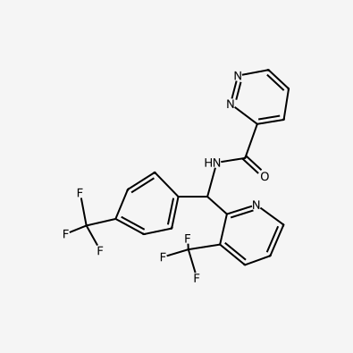 O=C(NC(c1ccc(C(F)(F)F)cc1)c1ncccc1C(F)(F)F)c1cccnn1